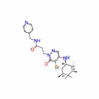 C[C@@H]1[C@@H](C)C(C)(C)[C@@H](C)C[C@H]1Nc1cnn(CCC(=O)NCc2ccncc2)c(=O)c1Br